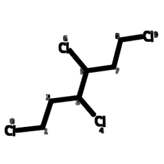 ClCCC(Cl)C(Cl)CCCl